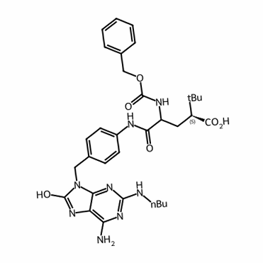 CCCCNc1nc(N)c2nc(O)n(Cc3ccc(NC(=O)C(C[C@H](C(=O)O)C(C)(C)C)NC(=O)OCc4ccccc4)cc3)c2n1